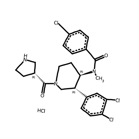 CN(C(=O)c1ccc(Cl)cc1)[C@@H]1CCN(C(=O)[C@@H]2CCNC2)C[C@H]1c1ccc(Cl)c(Cl)c1.Cl